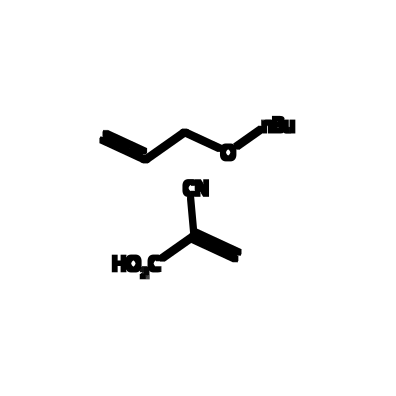 C=C(C#N)C(=O)O.C=CCOCCCC